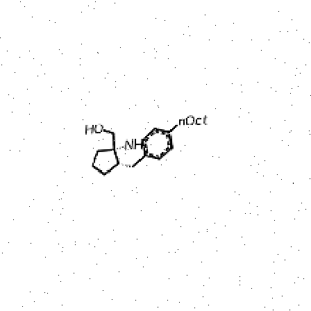 CCCCCCCCc1ccc(C[C@@H]2CCC[C@@]2(N)CO)cc1